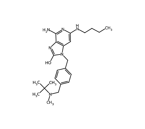 CCCCNc1cc2c(nc(O)n2Cc2ccc(CN(C)C(C)(C)C)cc2)c(N)n1